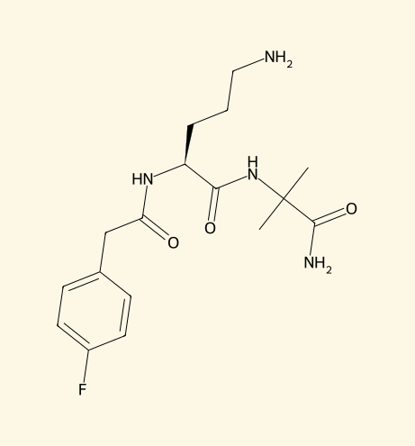 CC(C)(NC(=O)[C@H](CCCN)NC(=O)Cc1ccc(F)cc1)C(N)=O